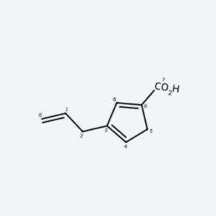 C=CCC1=CCC(C(=O)O)=C1